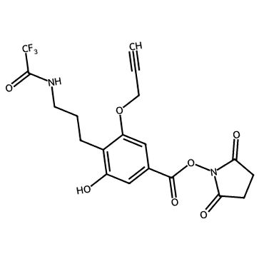 C#CCOc1cc(C(=O)ON2C(=O)CCC2=O)cc(O)c1CCCNC(=O)C(F)(F)F